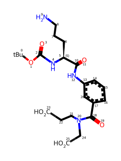 CC(C)(C)OC(=O)N[C@@H](CCCN)C(=O)Nc1cccc(C(=O)N(CCC(=O)O)CC(=O)O)c1